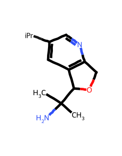 CC(C)c1cnc2c(c1)C(C(C)(C)N)OC2